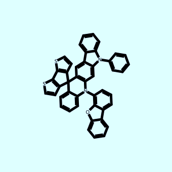 c1ccc(-n2c3ccccc3c3cc4c(cc32)N(c2cccc3c2oc2ccccc23)c2ccccc2C42c3ccsc3-c3sccc32)cc1